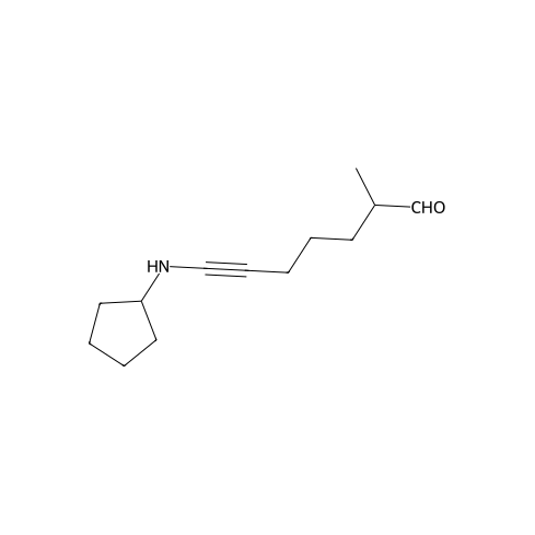 CC(C=O)CCCC#CNC1CCCC1